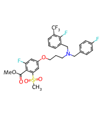 COC(=O)c1c(F)cc(OCCCN(Cc2ccc(F)cc2)Cc2cccc(C(F)(F)F)c2F)cc1S(C)(=O)=O